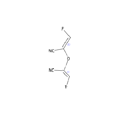 N#C/C(=C\F)O/C(C#N)=C/F